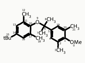 COc1c(C)cc(C(C)(C)Oc2c(C)cc(C(C)(C)C)cc2C)cc1C